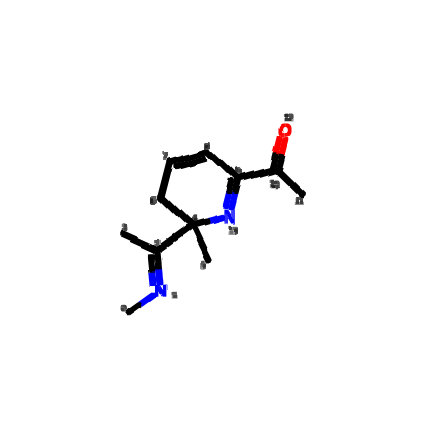 C/N=C(\C)C1(C)CC=CC(C(C)=O)=N1